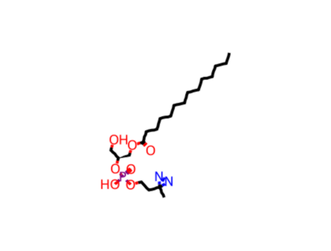 CCCCCCCCCCCCCC(=O)OC[C@H](CO)OP(=O)(O)OCCC1(C)N=N1